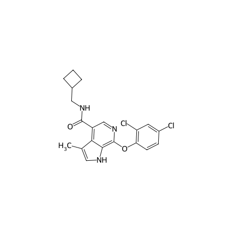 Cc1c[nH]c2c(Oc3ccc(Cl)cc3Cl)ncc(C(=O)NCC3CCC3)c12